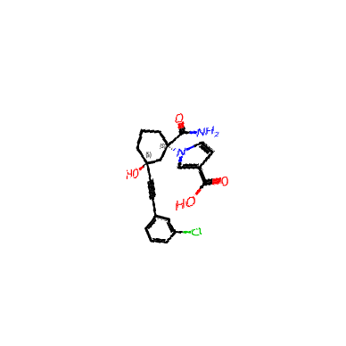 NC(=O)[C@]1(n2ccc(C(=O)O)c2)CCC[C@@](O)(C#Cc2cccc(Cl)c2)C1